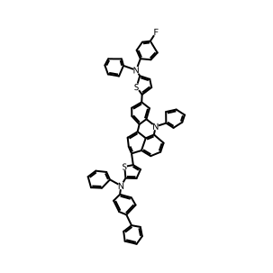 Fc1ccc(N(c2ccccc2)c2ccc(-c3ccc4c(c3)N(c3ccccc3)c3cccc5c(-c6ccc(N(c7ccccc7)c7ccc(-c8ccccc8)cc7)s6)ccc-4c35)s2)cc1